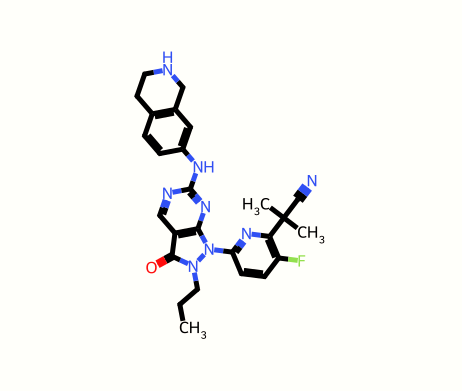 CCCn1c(=O)c2cnc(Nc3ccc4c(c3)CNCC4)nc2n1-c1ccc(F)c(C(C)(C)C#N)n1